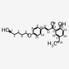 C#CCCCCOc1ccc(C=CC(=O)c2cc(CC)ccc2O)cc1